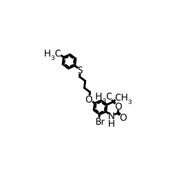 Cc1ccc(SCCCCOc2cc(Br)c3c(c2)C(C)(C)OC(=O)N3)cc1